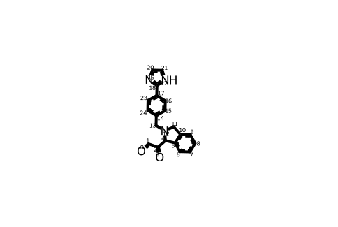 O=CC(=O)C1c2ccccc2CN1Cc1ccc(-c2ncc[nH]2)cc1